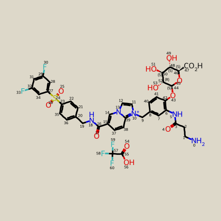 NCCC(=O)Nc1cc(C[n+]2ccn3cc(C(=O)NCc4ccc(S(=O)(=O)c5cc(F)cc(F)c5)cc4)ccc32)ccc1O[C@@H]1O[C@H](C(=O)O)[C@@H](O)[C@H](O)[C@H]1O.O=C(O)C(F)(F)F